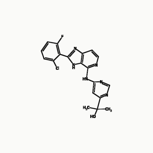 CC(C)(O)c1cc(Nc2nccc3nc(-c4c(F)cccc4Cl)[nH]c23)ncn1